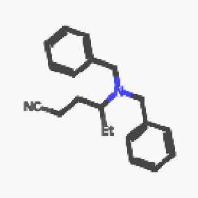 CCC(CCC#N)N(Cc1ccccc1)Cc1ccccc1